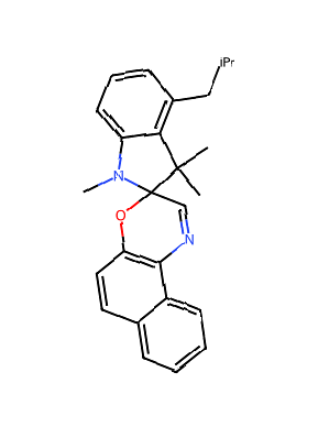 CC(C)Cc1cccc2c1C(C)(C)C1(C=Nc3c(ccc4ccccc34)O1)N2C